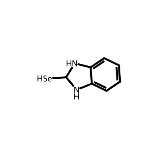 [SeH]C1Nc2ccccc2N1